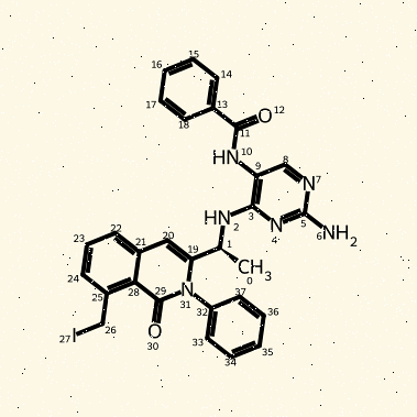 C[C@H](Nc1nc(N)ncc1NC(=O)c1ccccc1)c1cc2cccc(CI)c2c(=O)n1-c1ccccc1